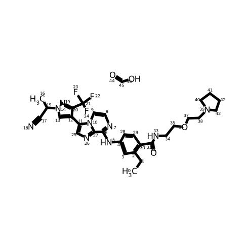 CCc1cc(Nc2nccn3c(-c4cn(C(C)C#N)nc4C(F)(F)F)cnc23)ccc1C(=O)NCCOCCN1CCCC1.O=CO